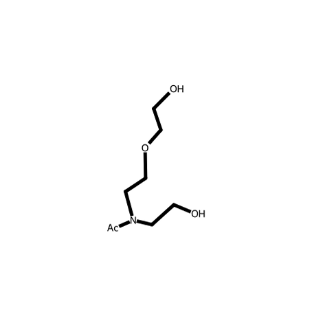 CC(=O)N(CCO)CCOCCO